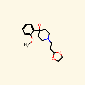 COc1ccccc1C1(O)CCN(CCC2OCCO2)CC1